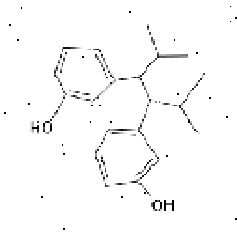 CC(C)C(c1cccc(O)c1)C(c1cccc(O)c1)C(C)C